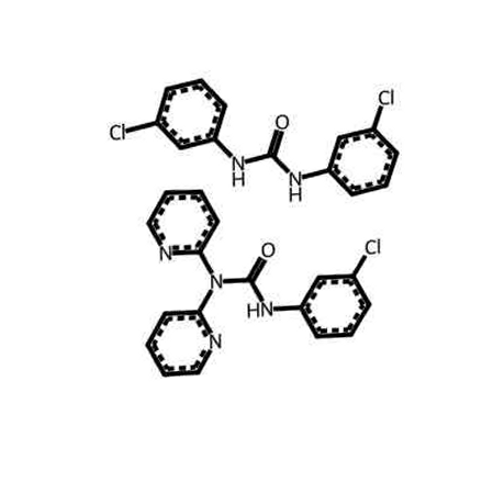 O=C(Nc1cccc(Cl)c1)N(c1ccccn1)c1ccccn1.O=C(Nc1cccc(Cl)c1)Nc1cccc(Cl)c1